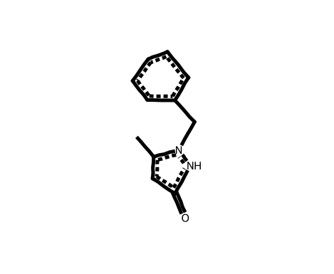 Cc1cc(=O)[nH]n1Cc1ccccc1